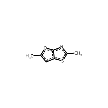 Cc1cc2sc(C)nc2o1